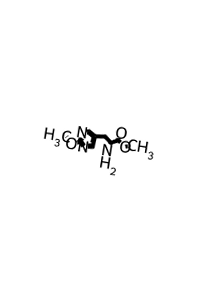 COC(=O)C(N)Cc1cnc(OC)nc1